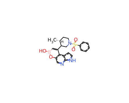 C[C@@H]1CCN(S(=O)(=O)c2ccccc2)CC1C1=CB(O)Oc2cnc3[nH]ccc3c21